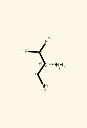 CC(C)C[C@@H](N)C(F)F